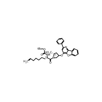 C=CCCCCC[C@H](NC(=O)OC(C)(C)C)C(=O)N1CC(Oc2cc(-c3ccccc3)nc3c2oc2ccccc23)C[C@H]1C(=O)O